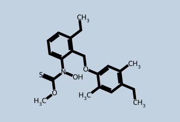 CCc1cc(C)c(OCc2c(CC)cccc2N(O)C(=S)OC)cc1C